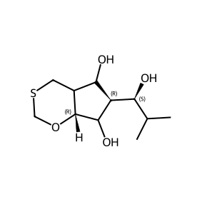 CC(C)[C@H](O)[C@@H]1C(O)C2CSCO[C@H]2C1O